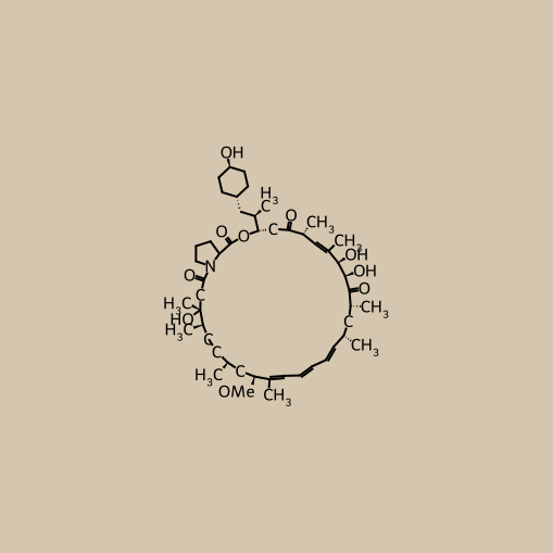 CO[C@H]1C[C@@H](C)CC[C@@H](C)[C@](C)(O)CC(=O)N2CCCC2C(=O)O[C@H]([C@H](C)C[C@H]2CC[C@H](O)CC2)CC(=O)[C@H](C)/C=C(\C)[C@@H](O)[C@@H](O)C(=O)[C@H](C)C[C@H](C)/C=C/C=C/C=C/1C